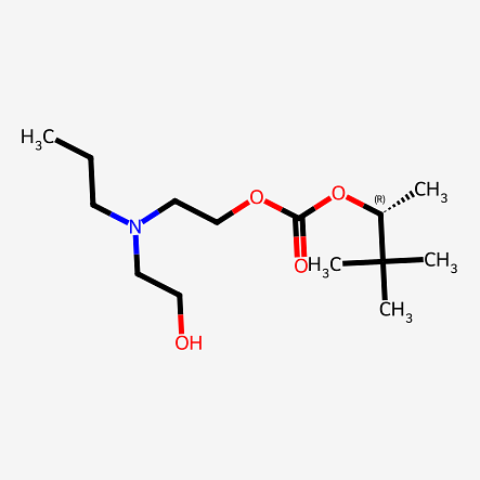 CCCN(CCO)CCOC(=O)O[C@H](C)C(C)(C)C